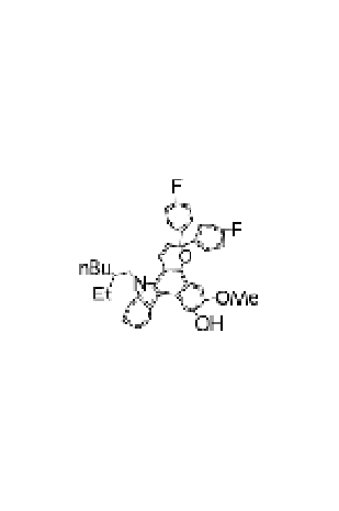 CCCCC(CC)Cn1c2ccccc2c2c3cc(O)c(OC)cc3c3c(c21)C=CC(c1ccc(F)cc1)(c1ccc(F)cc1)O3